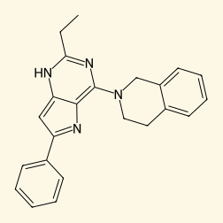 CCc1nc(N2CCc3ccccc3C2)c2nc(-c3ccccc3)cc-2[nH]1